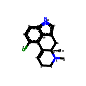 CN1CCC=C2c3c(Cl)ccc4[nH]cc(c34)C[C@H]21